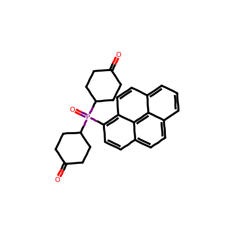 O=C1CCC(P(=O)(c2ccc3ccc4cccc5ccc2c3c45)C2CCC(=O)CC2)CC1